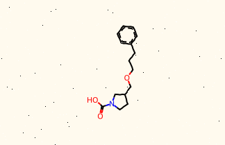 O=C(O)N1CCC(COCCCc2ccccc2)C1